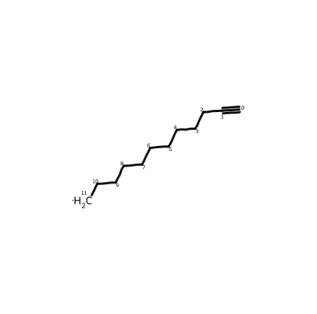 [C]#CCCCCCCCCC[CH2]